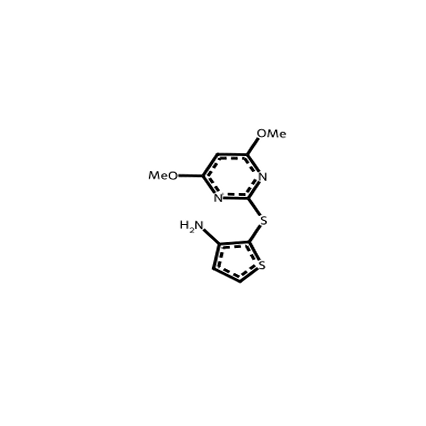 COc1cc(OC)nc(Sc2sccc2N)n1